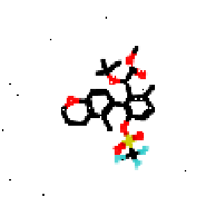 COC(=O)C(OC(C)(C)C)c1c(C)ccc(OS(=O)(=O)C(F)(F)F)c1-c1ccc2c(c1C)CCCO2